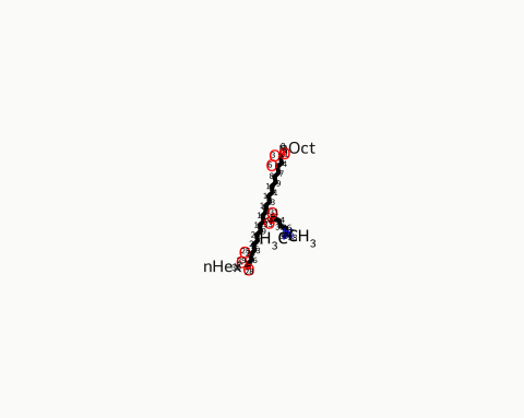 CCCCCCCCOC(=O)CC(=O)CCCCCCCCC(CCCCCCCCC(=O)CC(=O)OCCCCCC)OC(=O)CCCN(C)C